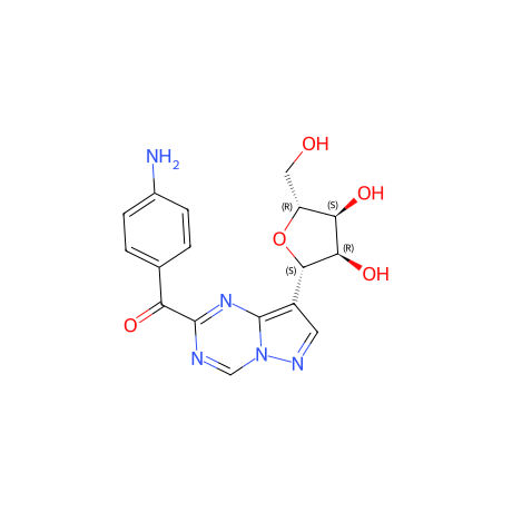 Nc1ccc(C(=O)c2ncn3ncc([C@@H]4O[C@H](CO)[C@@H](O)[C@H]4O)c3n2)cc1